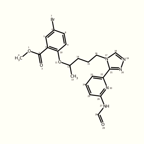 COC(=O)c1cc(Br)ccc1OC(C)CCCn1cnnc1-c1cccc(NC=O)n1